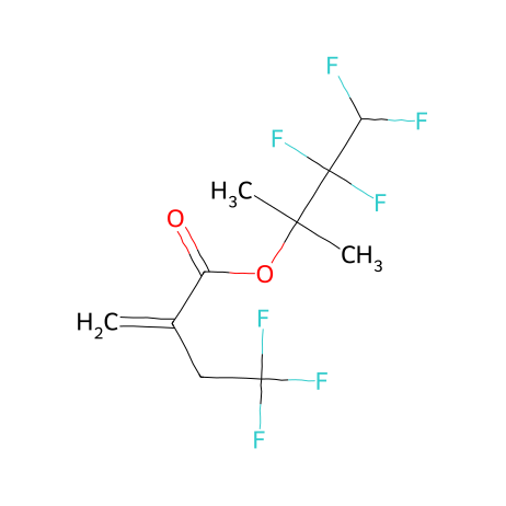 C=C(CC(F)(F)F)C(=O)OC(C)(C)C(F)(F)C(F)F